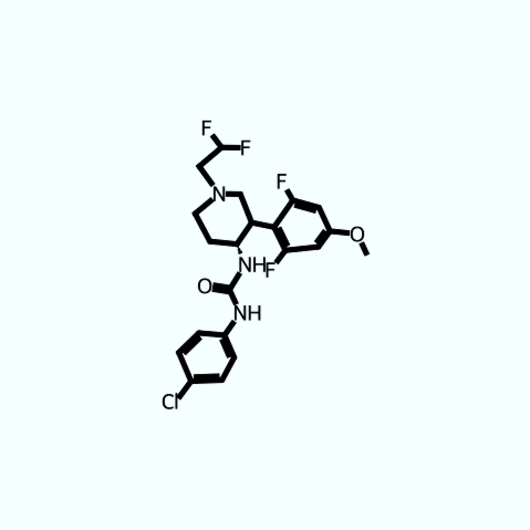 COc1cc(F)c(C2CN(CC(F)F)CC[C@H]2NC(=O)Nc2ccc(Cl)cc2)c(F)c1